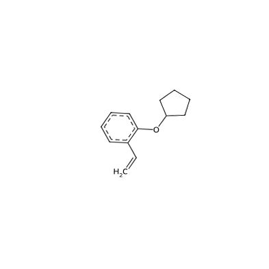 C=Cc1ccccc1OC1CCCC1